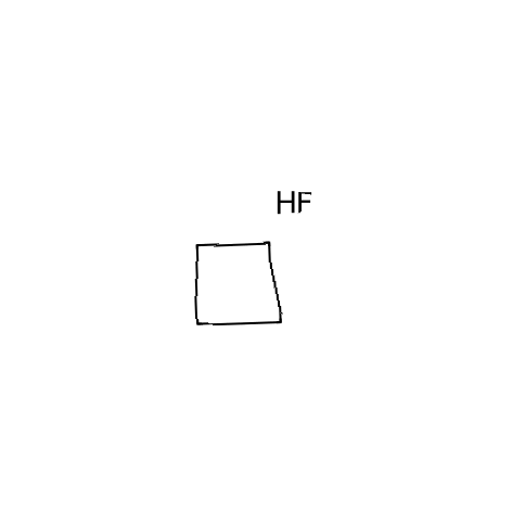 C1CCC1.F